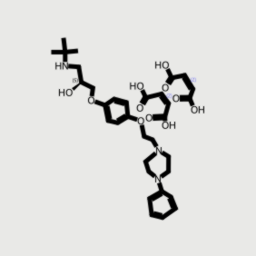 CC(C)(C)NC[C@H](O)COc1ccc(OCCN2CCN(c3ccccc3)CC2)cc1.O=C(O)/C=C\C(=O)O.O=C(O)/C=C\C(=O)O